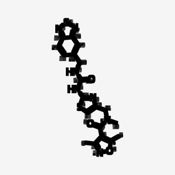 Cc1noc(C)c1C(=O)N(C)Cc1csc(NC(=O)NCc2ccc3nsnc3c2)n1